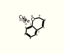 C1=Cc2ccccc2OC1.[Cu].[Fe].[Ni]